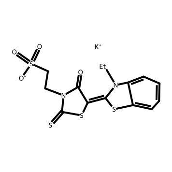 CCN1C(=C2SC(=S)N(CCS(=O)(=O)[O-])C2=O)Sc2ccccc21.[K+]